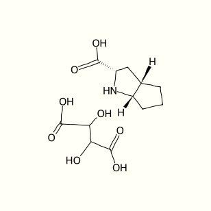 O=C(O)C(O)C(O)C(=O)O.O=C(O)[C@@H]1C[C@@H]2CCC[C@@H]2N1